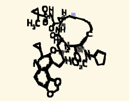 CC1(S(=O)(=O)NC(=O)[C@@]23C[C@H]2/C=C\CCCCC[C@H](N(C(=O)O)C2CCCC2)C(=O)N2C[C@@]4(CCc5c(c(C6CC6)nc6ccc7c(c56)OCO7)O4)C[C@H]2C(=O)N3)CC1